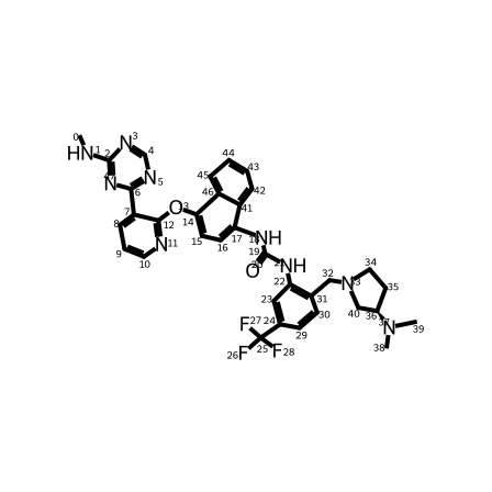 CNc1ncnc(-c2cccnc2Oc2ccc(NC(=O)Nc3cc(C(F)(F)F)ccc3CN3CC[C@@H](N(C)C)C3)c3ccccc23)n1